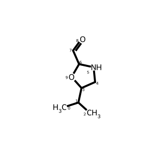 CC(C)C1CNC(C=O)O1